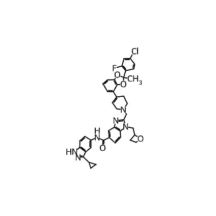 CC1(c2ccc(Cl)cc2F)Oc2cccc(C3=CCN(Cc4nc5cc(C(=O)Nc6ccc7[nH]nc(C8CC8)c7c6)ccc5n4CC4CCO4)CC3)c2O1